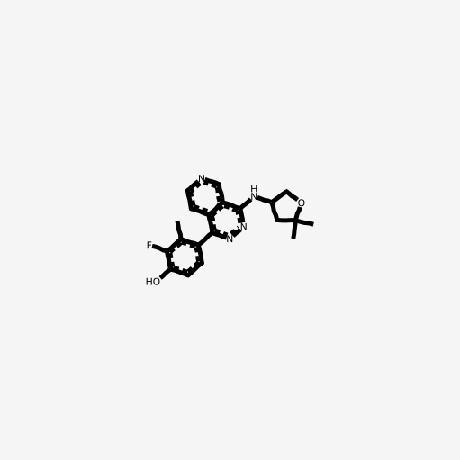 Cc1c(-c2nnc(NC3COC(C)(C)C3)c3cnccc23)ccc(O)c1F